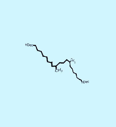 CCCCCCCCCCCCCCCCCCC(C)CCCC(C)CCCCCCCCCCCCCCCC